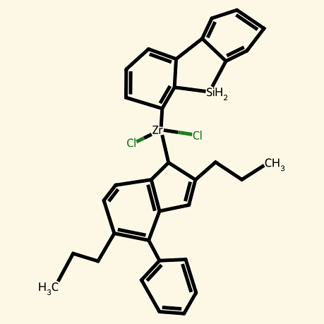 CCCC1=Cc2c(ccc(CCC)c2-c2ccccc2)[CH]1[Zr]([Cl])([Cl])[c]1cccc2c1[SiH2]c1ccccc1-2